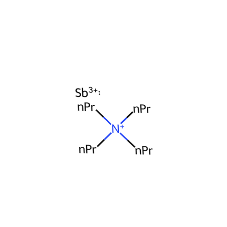 CCC[N+](CCC)(CCC)CCC.[Sb+3]